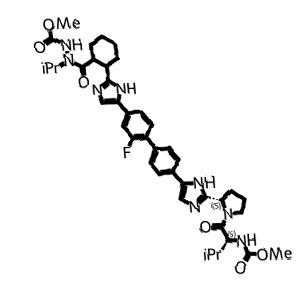 COC(=O)N[C@H](C(=O)N1CCC[C@H]1c1ncc(-c2ccc(-c3ccc(-c4cnc(C5CCCCC5C(=O)N(NC(=O)OC)C(C)C)[nH]4)cc3F)cc2)[nH]1)C(C)C